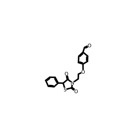 O=Cc1ccc(OCCN2C(=O)SC(c3ccccc3)C2=O)cc1